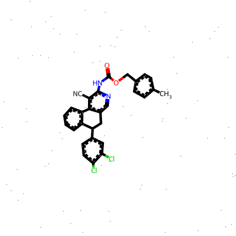 Cc1ccc(COC(=O)Nc2ncc3c(c2C#N)-c2ccccc2C(c2ccc(Cl)c(Cl)c2)C3)cc1